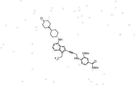 CNC(=O)c1ccc(NCC#Cc2cc3c(N[C@H]4CC[C@H](N5CC[S+]([O-])CC5)CC4)cccc3n2CC(F)(F)F)c(OC)c1